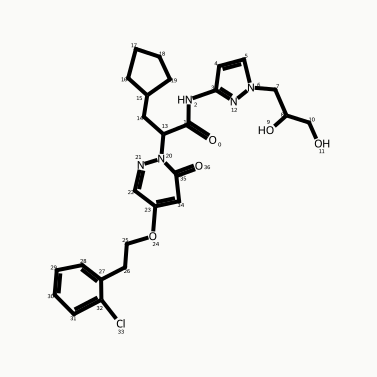 O=C(Nc1ccn(CC(O)CO)n1)C(CC1CCCC1)n1ncc(OCCc2ccccc2Cl)cc1=O